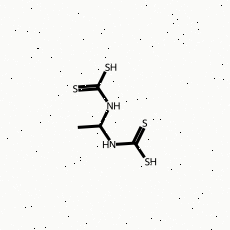 CC(NC(=S)S)NC(=S)S